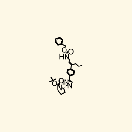 CCC/C(=C\CNC(=O)OCc1ccccc1)c1ccc(-c2cnc([C@@H]3CCCN3C(=O)OC(C)(C)C)[nH]2)cc1